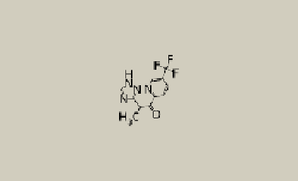 CC(C(=O)c1ccc(C(F)(F)F)cn1)c1nc[nH]n1